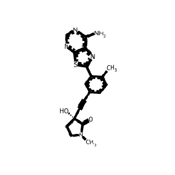 Cc1ccc(C#C[C@]2(O)CCN(C)C2=O)cc1-c1nc2c(N)ncnc2s1